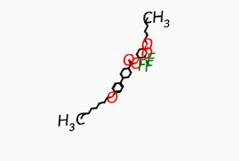 CCCCCCCCOc1ccc(C2CCC(C(=O)O[C@H]3CC[C@@H](OCCCCCC)O[C@@H]3C(F)(F)F)CC2)cc1